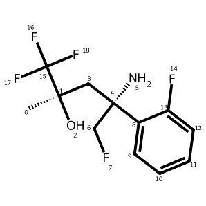 C[C@@](O)(C[C@](N)(CF)c1ccccc1F)C(F)(F)F